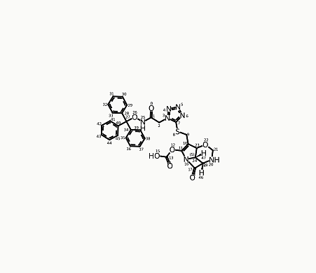 O=C(Cn1nnnc1SCC1=C(OC(=O)O)N2C(=O)[C@H]3NCOC1[C@H]32)NOC(c1ccccc1)(c1ccccc1)c1ccccc1